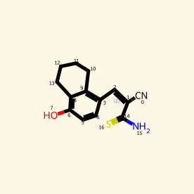 N#C/C(=C/c1ccc(O)c2c1CCCC2)C(N)=S